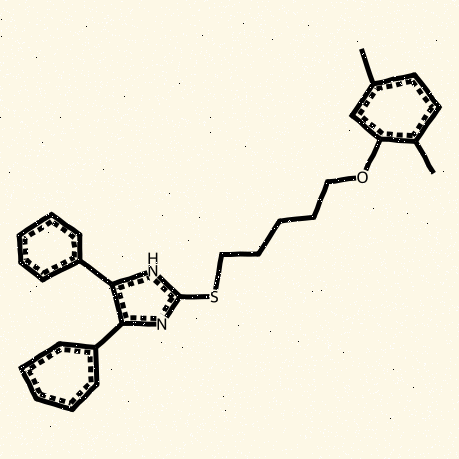 Cc1ccc(C)c(OCCCCCSc2nc(-c3ccccc3)c(-c3ccccc3)[nH]2)c1